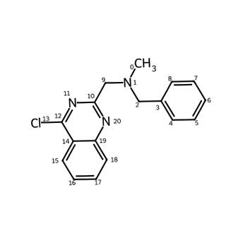 CN(Cc1ccccc1)Cc1nc(Cl)c2ccccc2n1